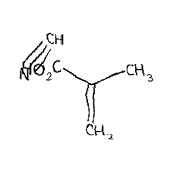 C#N.C=C(C)C(=O)O